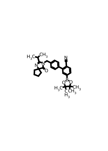 CC(C)C1=NC2(CCCC2)C(=O)N1Cc1ccc(-c2cc(B3OC(C)(C)C(C)(C)O3)ccc2C#N)cc1